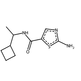 CC(NC(=O)c1cnc(N)s1)C1CCC1